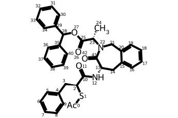 CC(=O)S[C@@H](Cc1ccccc1)C(=O)N[C@H]1Cc2ccccc2CN([C@@H](C)C(=O)OC(c2ccccc2)c2ccccc2)C1=O